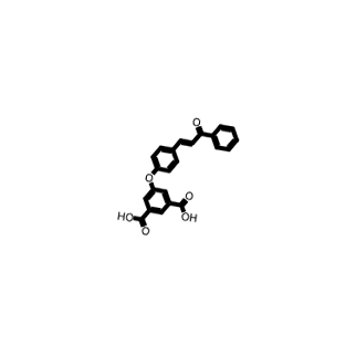 O=C(O)c1cc(Oc2ccc(C=CC(=O)c3ccccc3)cc2)cc(C(=O)O)c1